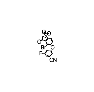 N#Cc1cc(F)cc(Oc2ccc3c(c2Br)C(=O)CS3(=O)=O)c1